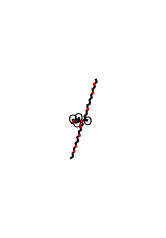 CCCCCCCCCCCCCCCC(=O)C(CCCCCCCCCCCCCC)C(=O)OC(C)=O